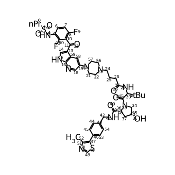 CCCS(=O)(=O)Nc1ccc(F)c(C(=O)c2c[nH]c3ncc(N4CCN(CCCC(=O)NC(C(=O)N5C[C@H](O)C[C@H]5C(=O)NCc5ccc(-c6scnc6C)cc5)C(C)(C)C)CC4)cc23)c1F